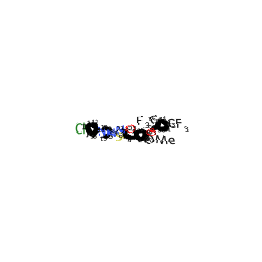 COc1cc(/C=C2/SC(N3CCN(c4ccc(Cl)cc4)CC3)=NC2=O)ccc1OCc1ccc(C(F)(F)F)cc1C(F)(F)F